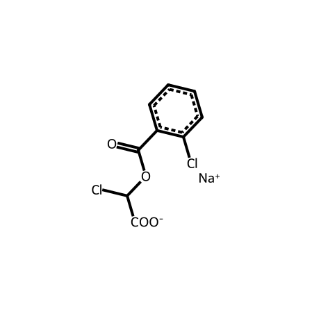 O=C(OC(Cl)C(=O)[O-])c1ccccc1Cl.[Na+]